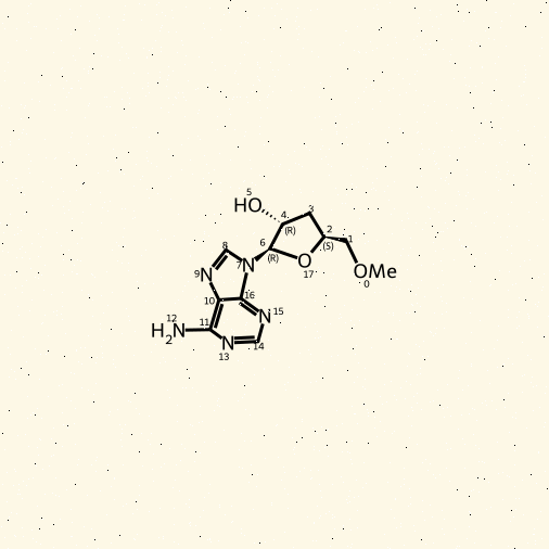 COC[C@@H]1C[C@@H](O)[C@H](n2cnc3c(N)ncnc32)O1